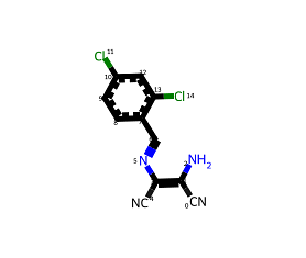 N#CC(N)=C(C#N)N=Cc1ccc(Cl)cc1Cl